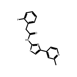 Cc1cc(-c2csc(NC(=O)Cc3ccccc3F)n2)ccn1